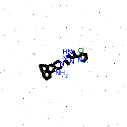 N[C@@H]1c2cccc3cccc(c23)CC12CCN(c1cnc3c(-c4ncccc4Cl)c[nH]c3n1)CC2